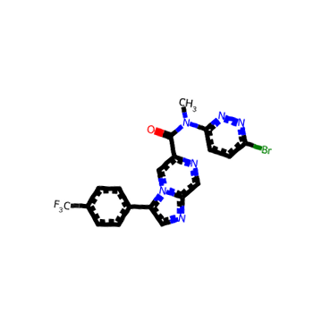 CN(C(=O)c1cn2c(-c3ccc(C(F)(F)F)cc3)cnc2cn1)c1ccc(Br)nn1